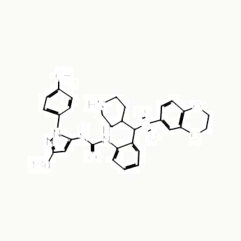 Cc1ccc(-n2nc(C(C)(C)C)cc2NC(=O)Nc2ccccc2C(C2CCNCC2)S(=O)(=O)c2ccc3c(c2)OCCO3)cc1